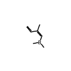 C=C/C(C)=C\B(C)C